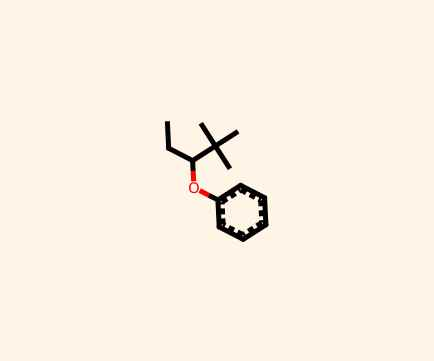 CCC(Oc1ccccc1)C(C)(C)C